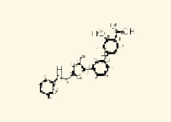 Cc1nc(CNc2ccccn2)sc1-c1cccc(-c2ccc(C(=O)O)c(O)c2)c1